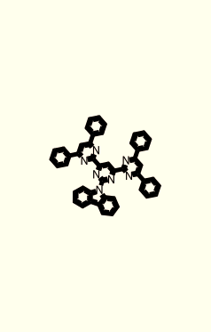 c1ccc(-c2cc(-c3ccccc3)nc(-c3cc(-c4nc(-c5ccccc5)cc(-c5ccccc5)n4)nc(-n4c5ccccc5c5ccccc54)n3)n2)cc1